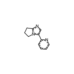 c1ccc(-c2cnc3n2CCC3)nc1